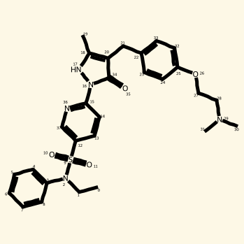 CCN(c1ccccc1)S(=O)(=O)c1ccc(-n2[nH]c(C)c(Cc3ccc(OCCN(C)C)cc3)c2=O)nc1